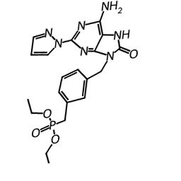 CCOP(=O)(Cc1cccc(Cn2c(=O)[nH]c3c(N)nc(-n4cccn4)nc32)c1)OCC